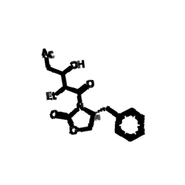 CCC(C(=O)N1C(=O)OC[C@H]1Cc1ccccc1)C(O)CC(C)=O